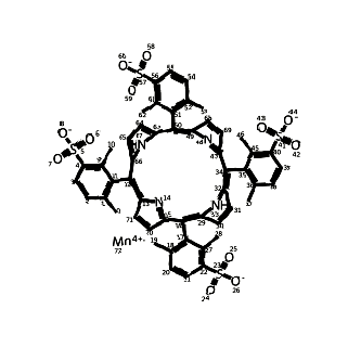 Cc1ccc(S(=O)(=O)[O-])c(C)c1-c1c2nc(c(-c3c(C)ccc(S(=O)(=O)[O-])c3C)c3ccc([nH]3)c(-c3c(C)ccc(S(=O)(=O)[O-])c3C)c3nc(c(-c4c(C)ccc(S(=O)(=O)[O-])c4C)c4ccc1[nH]4)C=C3)C=C2.[Mn+4]